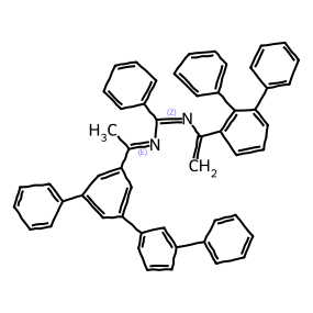 C=C(/N=C(\N=C(/C)c1cc(-c2ccccc2)cc(-c2cccc(-c3ccccc3)c2)c1)c1ccccc1)c1cccc(-c2ccccc2)c1-c1ccccc1